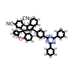 N#Cc1cc(C#N)c2c(c1)C1(c3ccccc3Oc3ccccc31)c1cc(-c3ccc(-c4nc(-c5ccccc5)nc(-c5ccccc5)n4)cc3)c3ccccc3c1-2